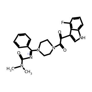 CN(C)C(=O)/N=C(\c1ccccc1)N1CCN(C(=O)C(=O)c2c[nH]c3cccc(F)c23)CC1